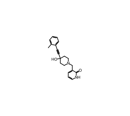 Cc1ccccc1C#CC1(O)CCN(Cc2ccc[nH]c2=O)CC1